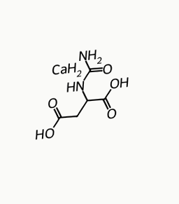 NC(=O)NC(CC(=O)O)C(=O)O.[CaH2]